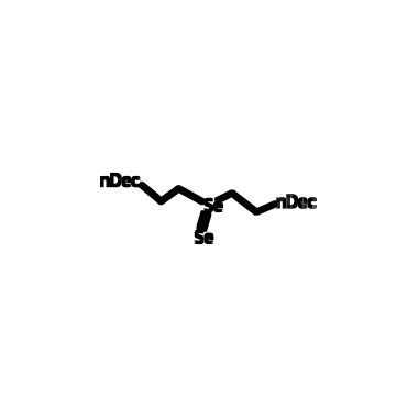 CCCCCCCCCCCC[Se](=[Se])CCCCCCCCCCCC